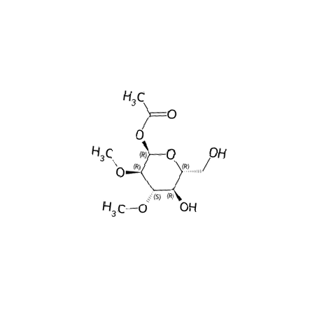 CO[C@H]1[C@@H](OC(C)=O)O[C@H](CO)[C@@H](O)[C@@H]1OC